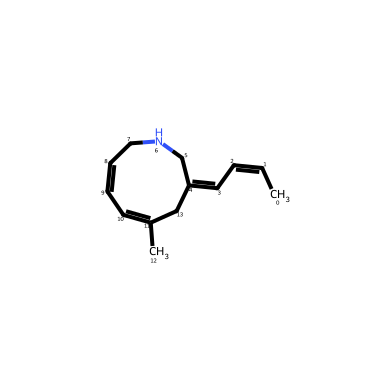 C/C=C\C=C1/CNC/C=C\C=C(\C)C1